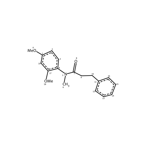 COc1ccc(N(C)C(=O)CCc2ccccc2)c(OC)c1